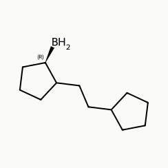 B[C@@H]1CCCC1CCC1CCCC1